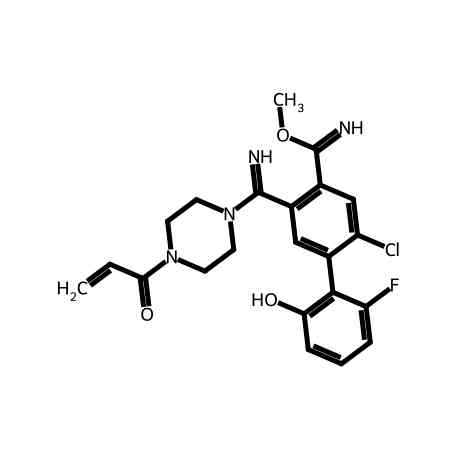 C=CC(=O)N1CCN(C(=N)c2cc(-c3c(O)cccc3F)c(Cl)cc2C(=N)OC)CC1